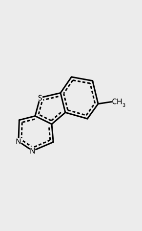 Cc1ccc2sc3cnncc3c2c1